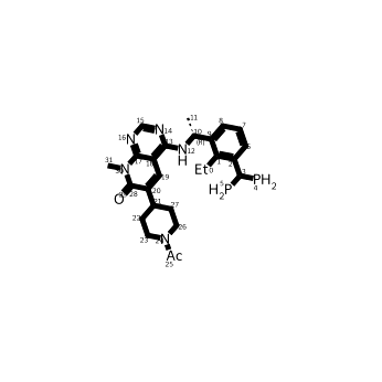 CCc1c(C(P)P)cccc1[C@@H](C)Nc1ncnc2c1cc(C1CCN(C(C)=O)CC1)c(=O)n2C